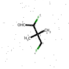 CC(C)(CF)C(F)C=O